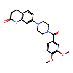 COc1ccc(C(=O)N2CCN(c3ccc4c(c3)NC(=O)CC4)CC2)cc1OC